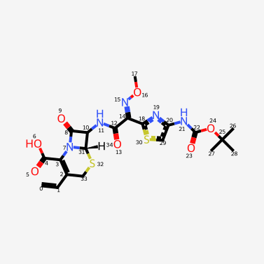 C=CC1=C(C(=O)O)N2C(=O)C(NC(=O)C(=NOC)c3nc(NC(=O)OC(C)(C)C)cs3)[C@@H]2SC1